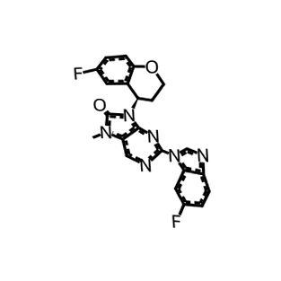 Cn1c(=O)n([C@@H]2CCOc3ccc(F)cc32)c2nc(-n3cnc4ccc(F)cc43)ncc21